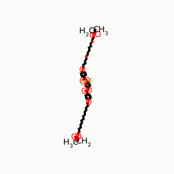 C=C(C)C(=O)OCCCCCCCCCCCCCCCOc1ccc(C(=O)Oc2cc(F)c(OC(=O)c3ccc(OCCCCCCCCCCCCCCCOC(=O)C(=C)C)cc3)c(F)c2)cc1